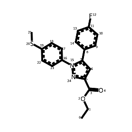 CCOC(=O)c1cc(-c2ccc(F)cc2)n(-c2ccc(SC)cc2)n1